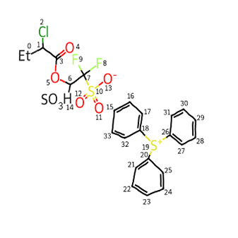 CCC(Cl)C(=O)OC(C(F)(F)S(=O)(=O)[O-])S(=O)(=O)O.c1ccc([S+](c2ccccc2)c2ccccc2)cc1